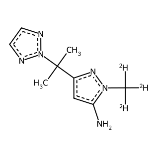 [2H]C([2H])([2H])n1nc(C(C)(C)n2nccn2)cc1N